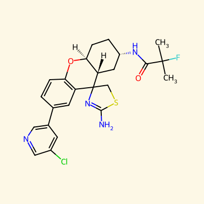 CC(C)(F)C(=O)N[C@H]1CC[C@@H]2Oc3ccc(-c4cncc(Cl)c4)cc3C3(CSC(N)=N3)[C@H]2C1